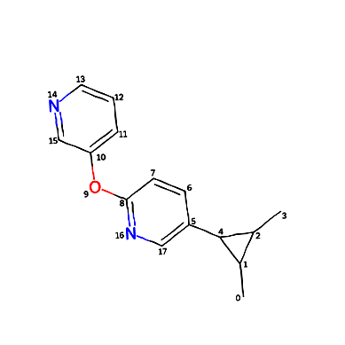 CC1C(C)C1c1ccc(Oc2cccnc2)nc1